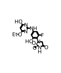 CCOc1cc(O)nc(Nc2cc(O)c(N3CC(=O)NS3(=O)=O)c(F)c2)n1